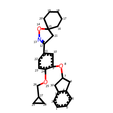 c1ccc2c(c1)CC(Oc1cc(C3=NOC4(CCCCC4)C3)ccc1OCC1CC1)C2